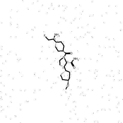 CO[C@H]1CC[C@H]([C@@H]2CCN(C(=O)[C@H]3CC[C@H]([C@H](N)CF)CC3)[C@@H]2C(N)=O)CC1